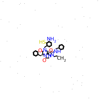 C=CCN(C(=O)NCc1ccccc1)N1CC(=O)N2[C@@H](Cc3ccccc3)C(=O)N(Cc3cccc(N)c3S)C[C@@H]21